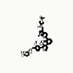 COc1cc(-c2nccc(-c3cccc(-c4ccc5c(CNC6CN(C(C)=O)C6)cn(C)c5n4)c3Cl)c2Cl)ccc1CNC[C@@H]1CCC(=O)N1